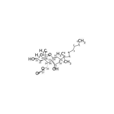 CCCCCCC(C)(C)c1cc(O)c2c(c1)OC(C)(C)[C@H](CCO)[C@H]2COC=O